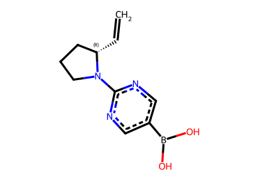 C=C[C@H]1CCCN1c1ncc(B(O)O)cn1